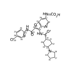 O=C(O)Nc1cnc2c(NC(=O)C3CCC(N4CCCC4)CC3)c(C(=O)Nc3ccc(Cl)cn3)oc2c1